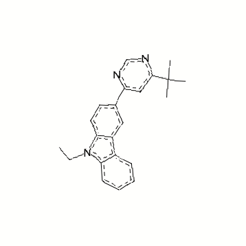 CCn1c2ccccc2c2cc(-c3cc(C(C)(C)C)ncn3)ccc21